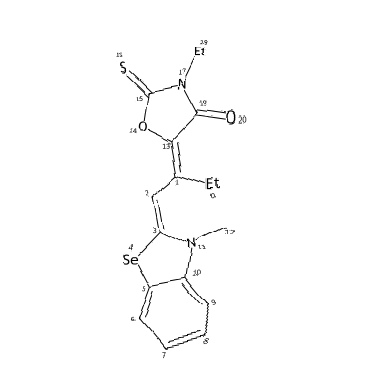 CCC(C=C1[Se]c2ccccc2N1C)=C1OC(=S)N(CC)C1=O